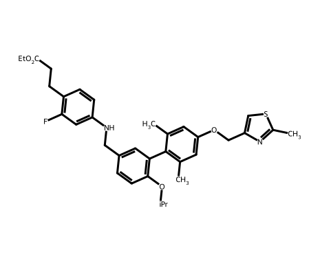 CCOC(=O)CCc1ccc(NCc2ccc(OC(C)C)c(-c3c(C)cc(OCc4csc(C)n4)cc3C)c2)cc1F